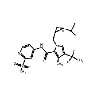 Cc1c(C(C)(F)F)nn(CC2C[C@H]2C(F)F)c1C(=O)Nc1ccnc(S(C)(=O)=O)c1